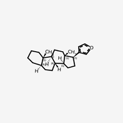 C[C@]12CCCC[C@@H]1CC[C@@H]1[C@@H]2CC[C@]2(C)[C@@H](c3ccoc3)CC[C@@H]12